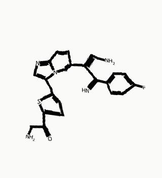 N=C(/C(=C\N)c1ccc2ncc(-c3ccc(C(=O)CN)s3)n2c1)c1ccc(F)cc1